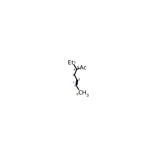 C/C=C/CC(CC)C(C)=O